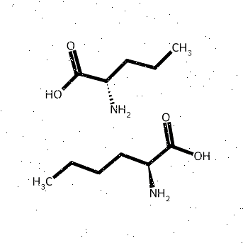 CCCC[C@H](N)C(=O)O.CCC[C@H](N)C(=O)O